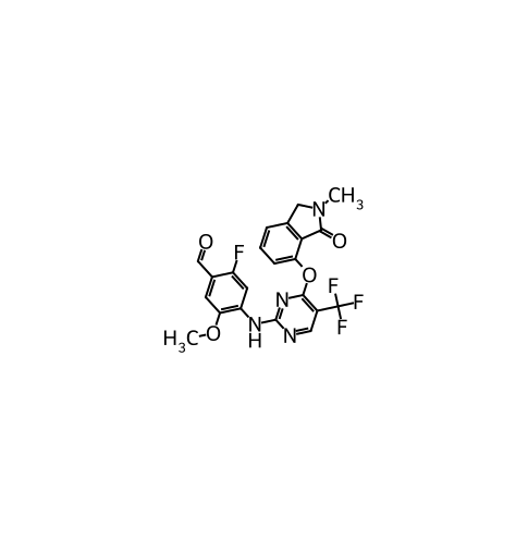 COc1cc(C=O)c(F)cc1Nc1ncc(C(F)(F)F)c(Oc2cccc3c2C(=O)N(C)C3)n1